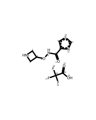 O=C(NOC1CNC1)c1cscn1.O=C(O)C(F)(F)F